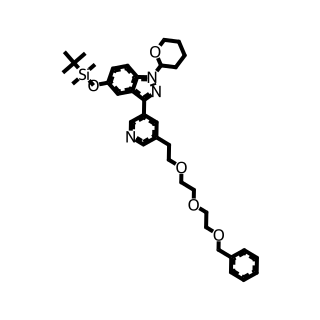 CC(C)(C)[Si](C)(C)Oc1ccc2c(c1)c(-c1cncc(CCOCCOCCOCc3ccccc3)c1)nn2C1CCCCO1